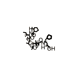 CC[C@H](C)C(NC(=O)C1CCCCN1C)C(=O)N(C)[C@H](C[C@@H](OC(C)=O)c1nc(C(=O)N[C@@H](Cc2ccccc2)C[C@H](C)CO)cs1)C(C)C